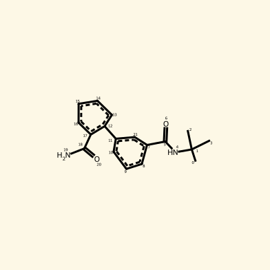 CC(C)(C)NC(=O)c1cccc(-c2ccccc2C(N)=O)c1